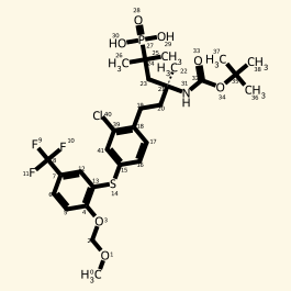 COCOc1ccc(C(F)(F)F)cc1Sc1ccc(CC[C@@](C)(CC(C)(C)P(=O)(O)O)NC(=O)OC(C)(C)C)c(Cl)c1